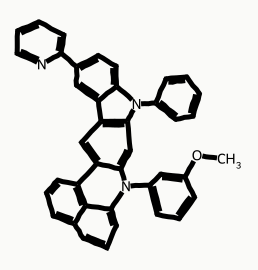 COc1cccc(N2c3cc4c(cc3-c3cccc5cccc2c35)c2cc(-c3ccccn3)ccc2n4-c2ccccc2)c1